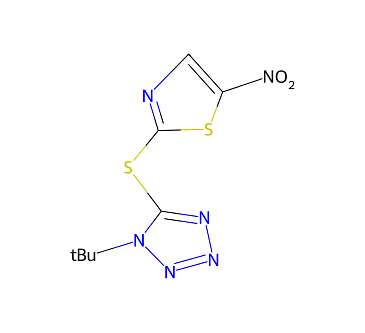 CC(C)(C)n1nnnc1Sc1ncc([N+](=O)[O-])s1